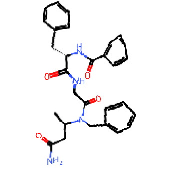 CC(CC(N)=O)N(Cc1ccccc1)C(=O)CNC(=O)[C@H](Cc1ccccc1)NC(=O)c1ccccc1